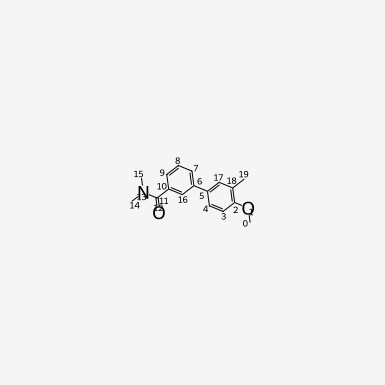 COc1ccc(-c2cccc(C(=O)N(C)C)c2)cc1C